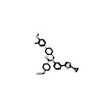 COc1ccc([C@H]2CC[C@H](CN(c3cccc(-c4cnc(C5CC5)s4)c3)C(=O)[C@H]3CC[C@H](CO)CC3)CC2)cc1C